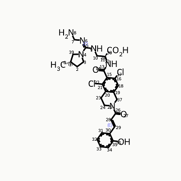 C[C@H]1CCN(/C(=N\CN)NC[C@H](NC(=O)c2c(Cl)cc3c(c2Cl)CCN(C(=O)/C=C/c2ccccc2O)C3)C(=O)O)C1